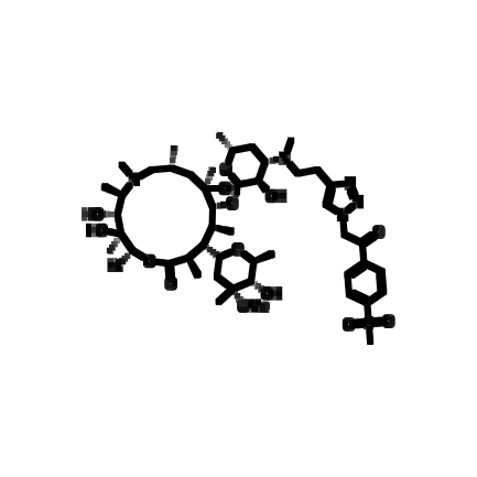 CC[C@H]1OC(=O)[C@H](C)[C@@H](C2C[C@@](C)(OC)[C@@H](O)[C@H](C)O2)[C@H](C)[C@@H](O[C@@H]2O[C@H](C)C[C@H](N(C)CCc3cn(CC(=O)c4ccc(S(C)(=O)=O)cc4)nn3)[C@H]2O)[C@](C)(O)C[C@@H](C)CN(C)[C@H](C)[C@@H](O)[C@]1(C)O